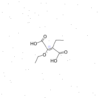 CCO/C(C(=O)O)=C(/CC)C(=O)O